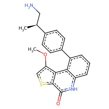 COc1csc2c(=O)[nH]c3cccc(-c4ccc([C@@H](C)CN)cc4)c3c12